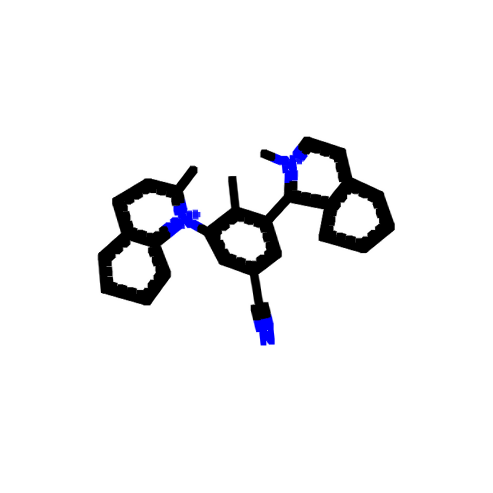 Cc1c(-c2c3ccccc3cc[n+]2C)cc(C#N)cc1-[n+]1c(C)ccc2ccccc21